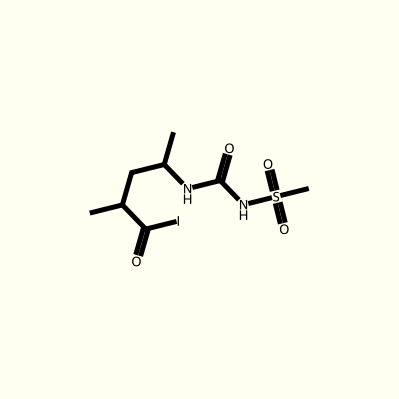 CC(CC(C)C(=O)I)NC(=O)NS(C)(=O)=O